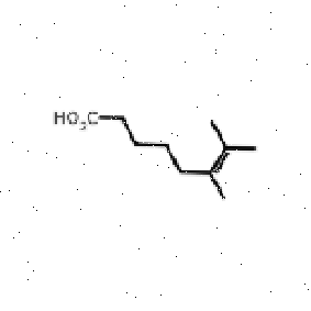 CC(C)=C(C)CCCCC(=O)O